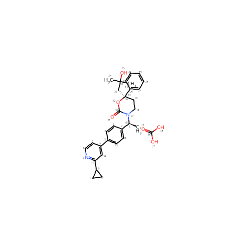 C[C@@H](c1ccc(-c2ccnc(C3CC3)c2)cc1)N1CC[C@](CC(C)(C)O)(c2ccccc2)OC1=O.O=C(O)O